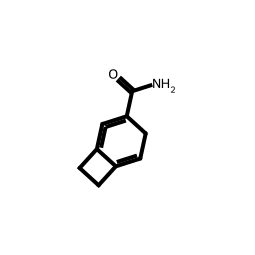 NC(=O)C1=C=C2CCC2=CC1